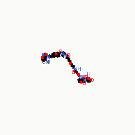 N#Cc1ccc2nccc(NCCc3ccc4cc(C(=O)N5CCN(C(=O)CCCCCCCCCNC(=O)CCCCNc6cccc7c6C(=O)N(C6CCC(=O)NC6=O)C7=O)CC5)ccc4c3)c2c1